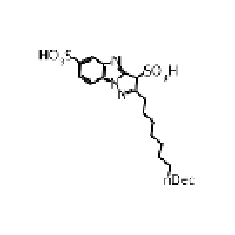 CCCCCCCCCCCCCCCCCC1=Nn2c(nc3cc(S(=O)(=O)O)ccc32)C1S(=O)(=O)O